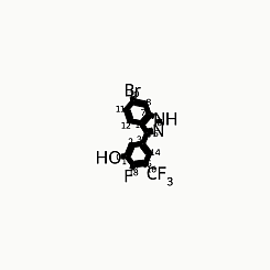 Oc1cc(-c2n[nH]c3cc(Br)ccc23)cc(C(F)(F)F)c1F